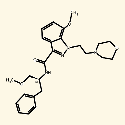 COC[C@H](Cc1ccccc1)NC(=O)c1nn(CCN2CCOCC2)c2c(OC)cccc12